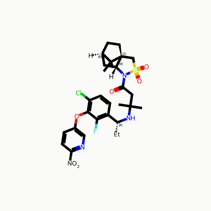 CC[C@@H](NC(C)(C)CC(=O)N1[C@@H]2C[C@H]3CC[C@]2(CS1(=O)=O)C3(C)C)c1ccc(Cl)c(Oc2ccc([N+](=O)[O-])nc2)c1F